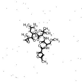 COCC(NC(=O)c1cc(C)on1)C(=O)N[C@H](C(=O)NC(CC(C)C)C(=O)[C@@]1(C)CO1)C(C)(C)C